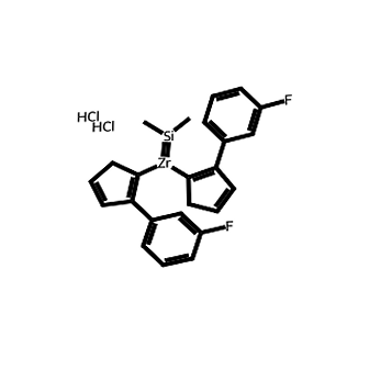 C[Si](C)=[Zr]([C]1=C(c2cccc(F)c2)C=CC1)[C]1=C(c2cccc(F)c2)C=CC1.Cl.Cl